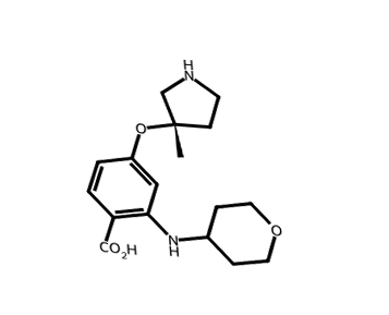 C[C@]1(Oc2ccc(C(=O)O)c(NC3CCOCC3)c2)CCNC1